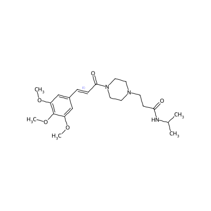 COc1cc(/C=C/C(=O)N2CCN(CCC(=O)NC(C)C)CC2)cc(OC)c1OC